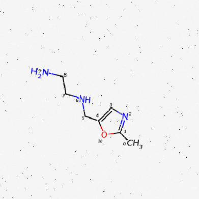 Cc1ncc(CNCCN)o1